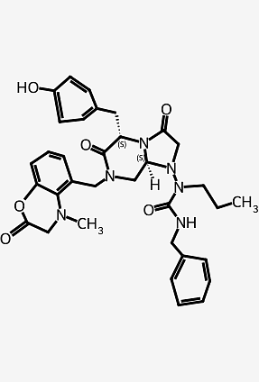 CCCN(C(=O)NCc1ccccc1)N1CC(=O)N2[C@@H](Cc3ccc(O)cc3)C(=O)N(Cc3cccc4c3N(C)CC(=O)O4)C[C@@H]21